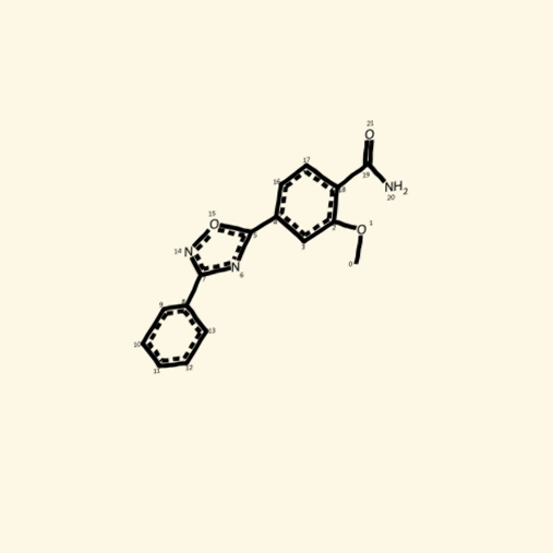 COc1cc(-c2nc(-c3ccccc3)no2)ccc1C(N)=O